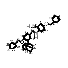 Nc1cc(OCc2ccccc2)ccc1NC(=O)c1ccc(OCc2ccccc2)c(C23CC4CC(CC(C4)C2)C3)c1